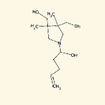 C=CCCC(O)N1CC(C)(CO)C(C)(CO)C1